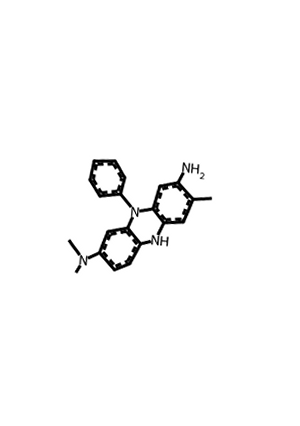 Cc1cc2c(cc1N)N(c1ccccc1)c1cc(N(C)C)ccc1N2